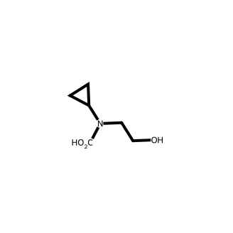 O=C(O)N(CCO)C1CC1